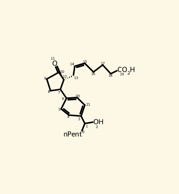 CCCCCC(O)c1ccc(C2CCC(=O)[C@@H]2C/C=C\CCCC(=O)O)cc1